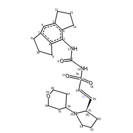 O=C(Nc1c2c(cc3c1CCC3)CCC2)NS(=O)(=O)/C=C/[C@H]1CCCN1C1CCOCC1